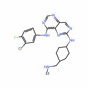 CCNCC1CCC(Nc2ncc3ncnc(Nc4ccc(F)c(Cl)c4)c3n2)CC1